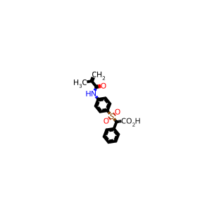 C=C(C)C(=O)Nc1ccc(S(=O)(=O)C(C(=O)O)c2ccccc2)cc1